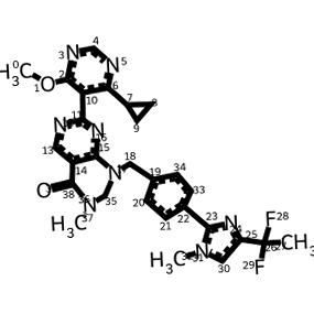 COc1ncnc(C2CC2)c1-c1ncc2c(n1)N(Cc1ccc(-c3nc(C(C)(F)F)cn3C)cc1)CN(C)C2=O